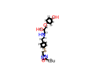 CC(C)(C)c1nc(CSc2ccc(CCNCC(O)COc3ccc(O)cc3)cc2)no1